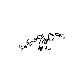 NCc1nn(-c2ccc(OC(F)(F)F)cc2)c2nccc(N3CC(OC(N)=O)C3)c12